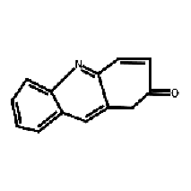 O=C1C=Cc2nc3ccccc3cc2C1